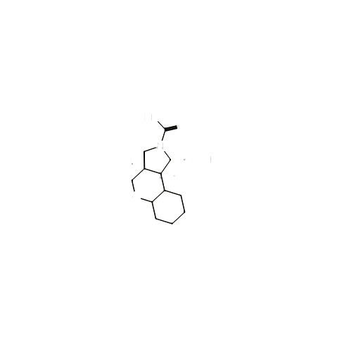 BC(=O)N1C[C@@H]2COC3CCCCC3[C@@H]2[C@H]1C(=O)O